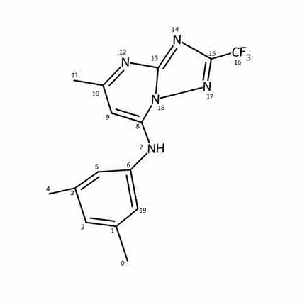 Cc1cc(C)cc(Nc2cc(C)nc3nc(C(F)(F)F)nn23)c1